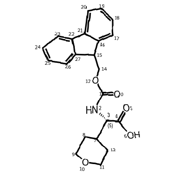 O=C(N[C@H](C(=O)O)C1CCOCC1)OCC1c2ccccc2-c2ccccc21